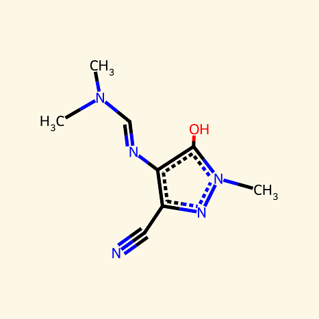 CN(C)C=Nc1c(C#N)nn(C)c1O